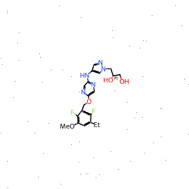 CCc1cc(OC)c(F)c(COc2cnc(Nc3cnn(C[C@@H](O)CO)c3)cn2)c1F